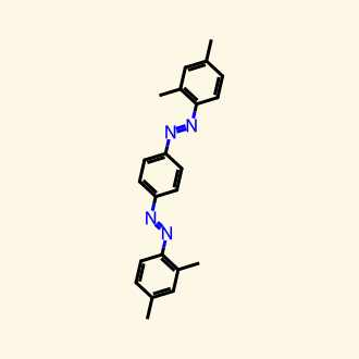 Cc1ccc(N=Nc2ccc(N=Nc3ccc(C)cc3C)cc2)c(C)c1